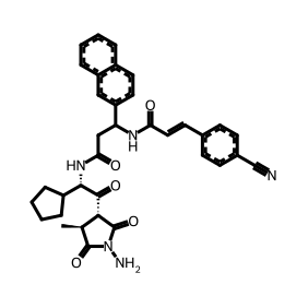 C[C@@H]1C(=O)N(N)C(=O)[C@H]1C(=O)[C@@H](NC(=O)CC(NC(=O)C=Cc1ccc(C#N)cc1)c1ccc2ccccc2c1)C1CCCC1